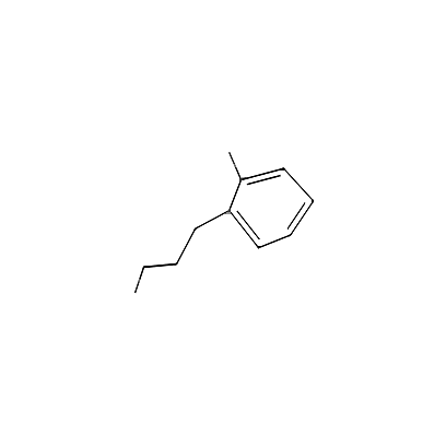 CCc1ccccc1CCCC(=O)O